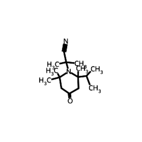 CC(C)C1(C)CC(=O)CC(C)(C)N1C(C)(C)C#N